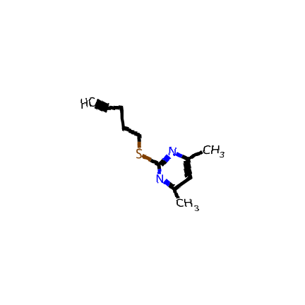 C#CCCCSc1nc(C)cc(C)n1